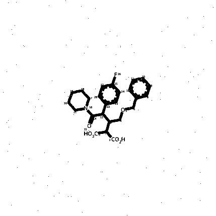 O=C(O)C(C(=O)O)C(COCc1ccccc1)C(C(=O)N1CCCCC1)c1ccc(F)cc1